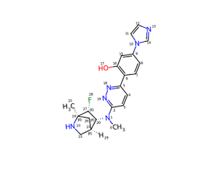 CN(c1ccc(-c2ccc(-n3ccnc3)cc2O)nn1)[C@@H]1[C@H]2CN[C@](C)(C2)[C@@H]1F